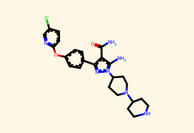 NC(=O)c1c(-c2ccc(Oc3ccc(Cl)cn3)cc2)nn(C2CCN(C3CCNCC3)CC2)c1N